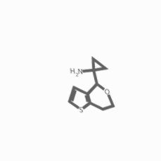 NC1(C2OCCc3sccc32)CC1